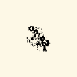 CO[C@]1(c2ccccc2)C[C@H](C(=O)Nc2cc(C(CCC3CC3)(N[S@@+]([O-])C(C)(C)C)c3ccccn3)ccc2F)N(C(=O)OC(C)(C)C)C1